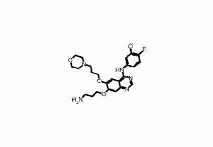 NCCCOc1cc2ncnc(Nc3ccc(F)c(Cl)c3)c2cc1OCCCN1CCOCC1